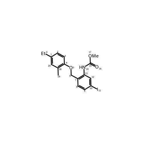 CCc1ccc(OCc2ccc(I)cc2NC(=O)OC)c(C)c1